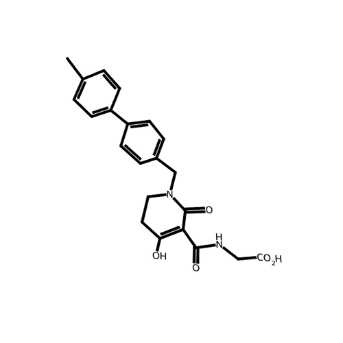 Cc1ccc(-c2ccc(CN3CCC(O)=C(C(=O)NCC(=O)O)C3=O)cc2)cc1